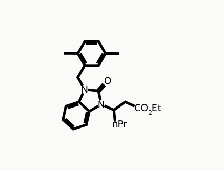 CCCC(CC(=O)OCC)n1c(=O)n(Cc2cc(C)ccc2C)c2ccccc21